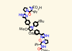 COC(=O)N[C@H](C(=O)N1CCC[C@H]1c1nc(-c2ccc([C@@H]3[C@H](OC)[C@@H](OC)[C@@H](c4ccc(-c5c[nH]c([C@@H]6CCCN6C(=O)[C@H](C(C)C)N(C)C(=O)O)n5)cc4)N3c3ccc(C(C)(C)C)cc3)cc2)c[nH]1)C(C)C